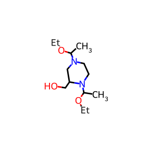 CCOC(C)N1CCN(C(C)OCC)C(CO)C1